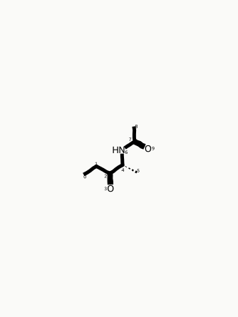 CCC(=O)[C@@H](C)NC(C)=O